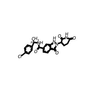 C[C@@H](NC(=O)c1ccc2c(=O)n(C3CCC(=O)NC3=O)[nH]c2c1)c1ccc(Cl)cc1